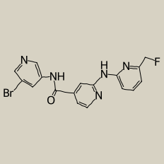 O=C(Nc1cncc(Br)c1)c1ccnc(Nc2cccc(CF)n2)c1